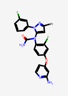 CC(C)c1cc(N(C(N)=O)c2ccc(Oc3ccnc(N)c3)cc2F)n(-c2cccc(F)c2)n1